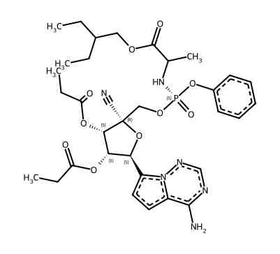 CCC(=O)O[C@H]1[C@H](c2ccc3c(N)ncnn23)O[C@](C#N)(CO[P@@](=O)(NC(C)C(=O)OCC(CC)CC)Oc2ccccc2)[C@H]1OC(=O)CC